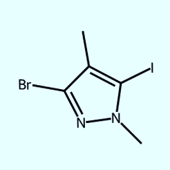 Cc1c(Br)nn(C)c1I